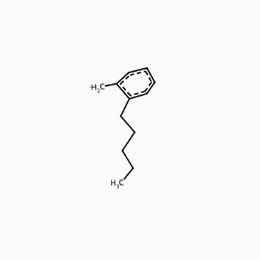 [CH2]c1ccccc1CCCCC